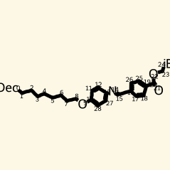 CCCCCCCCCCCCCCCCCCOc1ccc(N=Cc2ccc(C(=O)OCC(C)CC)cc2)cc1